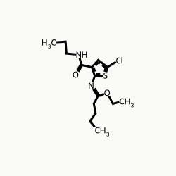 CCCCC(=Nc1sc(Cl)cc1C(=O)NCCC)OCC